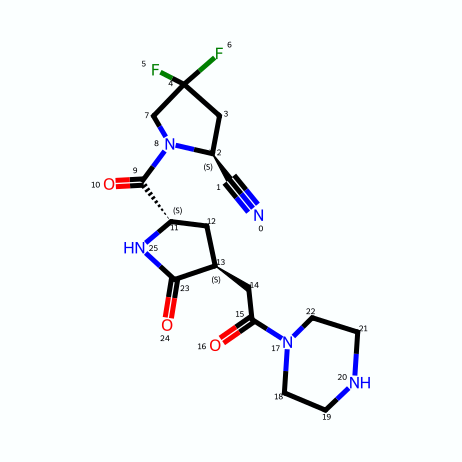 N#C[C@@H]1CC(F)(F)CN1C(=O)[C@@H]1C[C@@H](CC(=O)N2CCNCC2)C(=O)N1